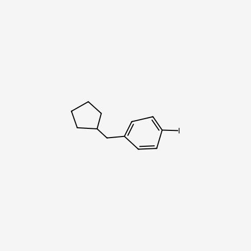 Ic1ccc(CC2CCCC2)cc1